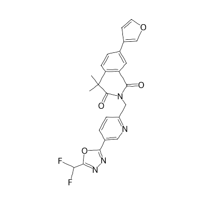 CC1(C)C(=O)N(Cc2ccc(-c3nnc(C(F)F)o3)cn2)C(=O)c2cc(-c3ccoc3)ccc21